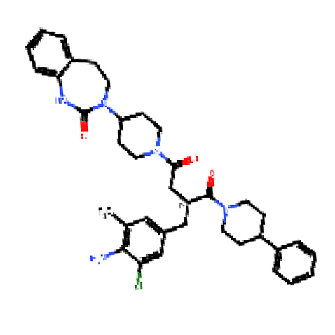 Nc1c(Cl)cc(C[C@@H](CC(=O)N2CCC(N3CCc4ccccc4NC3=O)CC2)C(=O)N2CCC(c3ccccc3)CC2)cc1C(F)(F)F